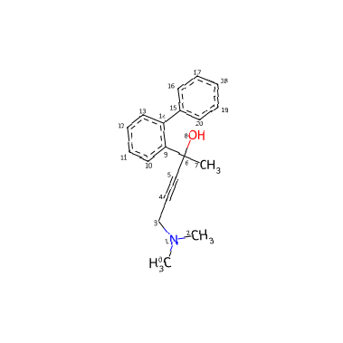 CN(C)CC#CC(C)(O)c1ccccc1-c1ccccc1